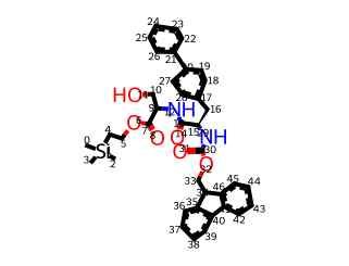 C[Si](C)(C)CCOC(=O)C(CO)NC(=O)[C@@H](Cc1ccc(-c2ccccc2)cc1)NC(=O)OCC1c2ccccc2-c2ccccc21